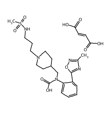 Cc1noc(-c2ccccc2N(CC2CCN(CCCNS(C)(=O)=O)CC2)C(=O)O)n1.O=C(O)C=CC(=O)O